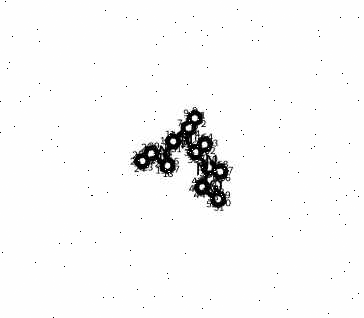 c1ccc2cc3c(cc2c1)c1ccc(-n2c4ccccc4c4c5ccccc5ccc42)cc1n3-c1ccc(-c2nc(-c3cccc4c3oc3ccccc34)c3ccccc3n2)c2ccccc12